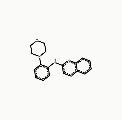 c1ccc(N2CCOCC2)c(Nc2cnc3ccccc3n2)c1